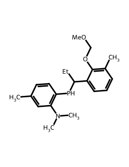 CCC(Pc1ccc(C)cc1N(C)C)c1cccc(C)c1OCOC